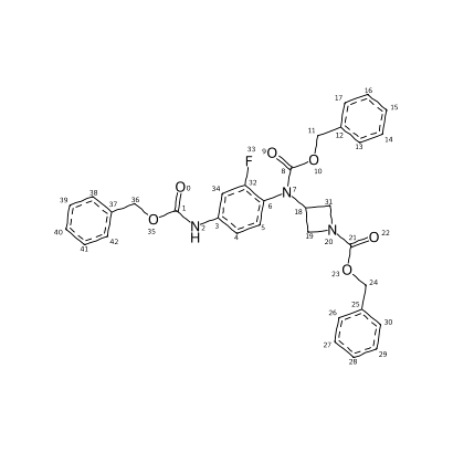 O=C(Nc1ccc(N(C(=O)OCc2ccccc2)C2CN(C(=O)OCc3ccccc3)C2)c(F)c1)OCc1ccccc1